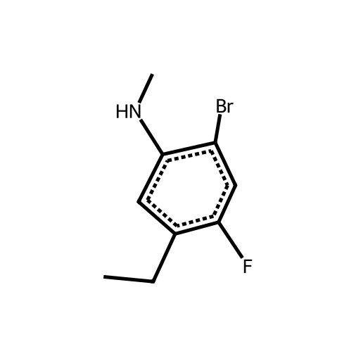 CCc1cc(NC)c(Br)cc1F